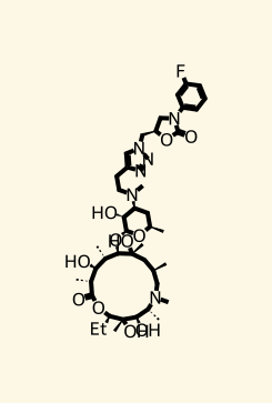 CC[C@H]1OC(=O)[C@H](C)[C@@H](O)[C@H](C)[C@@H](O[C@@H]2O[C@H](C)C[C@H](N(C)CCc3cn(C[C@H]4CN(c5cccc(F)c5)C(=O)O4)nn3)[C@H]2O)[C@](C)(O)C[C@@H](C)CN(C)[C@H](C)[C@@H](O)[C@]1(C)O